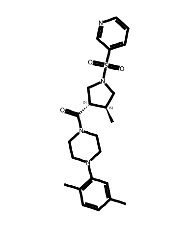 Cc1ccc(C)c(N2CCN(C(=O)[C@@H]3CN(S(=O)(=O)c4cccnc4)C[C@H]3C)CC2)c1